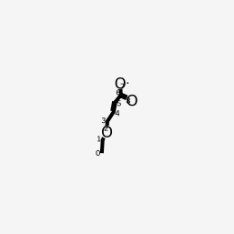 CCOCC=CC([O])=O